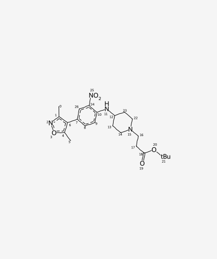 Cc1noc(C)c1-c1ccc(NC2CCN(CCC(=O)OC(C)(C)C)CC2)c([N+](=O)[O-])c1